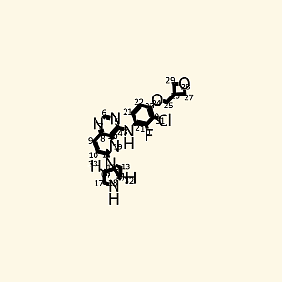 Fc1c(Nc2ncnc3ccc(N4C[C@@H]5C[C@H]4CN5)nc23)ccc(OCC2COC2)c1Cl